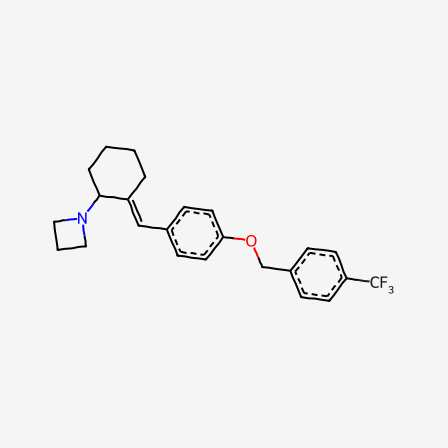 FC(F)(F)c1ccc(COc2ccc(/C=C3\CCCCC3N3CCC3)cc2)cc1